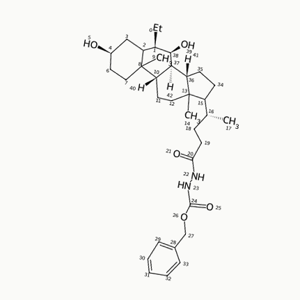 CC[C@@H]1C2C[C@H](O)CCC2(C)[C@H]2CCC3(C)C([C@H](C)CCC(=O)NNC(=O)OCc4ccccc4)CC[C@H]3[C@@H]2[C@@H]1O